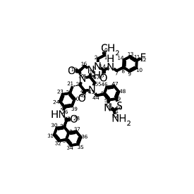 C=CCN(C(=O)NCc1ccc(F)cc1)N1CC(=O)N2[C@@H](Cc3ccc(NC(=O)c4cccc5ccccc45)cc3)C(=O)N(Cc3cccc4sc(N)nc34)C[C@@H]21